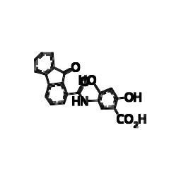 O=C(O)c1cc(NC(=O)c2cccc3c2C(=O)c2ccccc2-3)c(O)cc1O